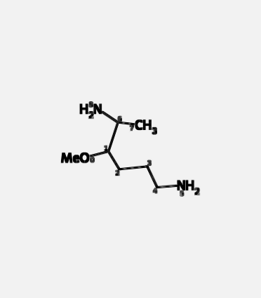 COC(CCCN)C(C)N